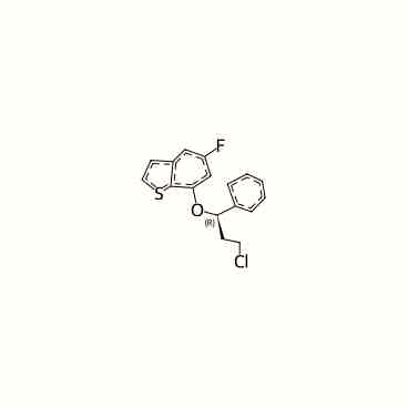 Fc1cc(O[C@H](CCCl)c2ccccc2)c2sccc2c1